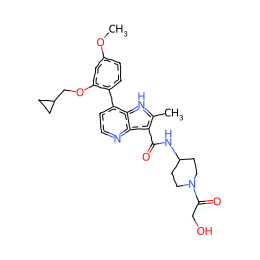 COc1ccc(-c2ccnc3c(C(=O)NC4CCN(C(=O)CO)CC4)c(C)[nH]c23)c(OCC2CC2)c1